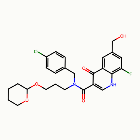 O=C(c1c[nH]c2c(F)cc(CO)cc2c1=O)N(CCCOC1CCCCO1)Cc1ccc(Cl)cc1